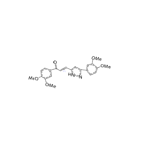 COc1ccc(C(=O)/C=C/c2cc(-c3ccc(OC)c(OC)c3)n[nH]2)cc1OC